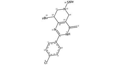 C=C1NC(c2ccc(Cl)cc2)=NC2=C1CN(SC)CC2CCCC